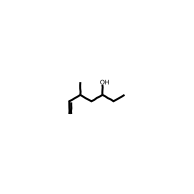 C=CC(C)CC(O)CC